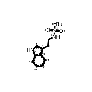 CC(C)(C)S(=O)(=O)NCCc1c[nH]c2ccccc12